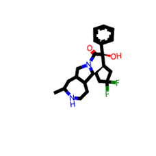 CC1CC2CN(C(=O)[C@](O)(c3ccccc3)[C@@H]3CCC(F)(F)C3)CC2CCN1